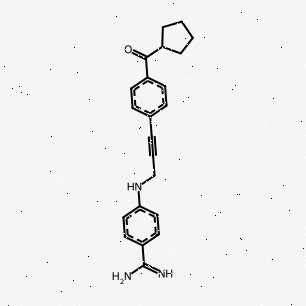 N=C(N)c1ccc(NCC#Cc2ccc(C(=O)C3CCCC3)cc2)cc1